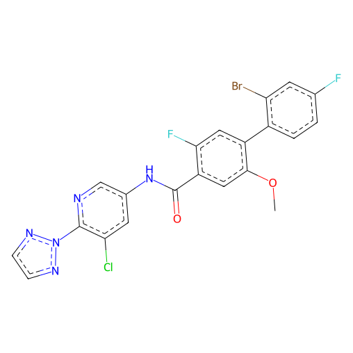 COc1cc(C(=O)Nc2cnc(-n3nccn3)c(Cl)c2)c(F)cc1-c1ccc(F)cc1Br